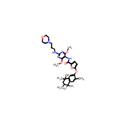 COc1nc(NCCCN2CCOCC2)nc(OC)c1NC(=O)c1ccc(Oc2cc3c(cc2C)C(C)(C)C(C)CC3(C)C)o1